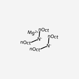 CCCCCCCC[N-]CCCCCCCC.CCCCCCCC[N-]CCCCCCCC.[Mg+2]